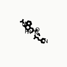 CCN(CC(C)CCc1ccncc1)C(=O)[C@@H]1CC2c3cccc4c3c(cn4C(C)C)C[C@H]2N(C)C1